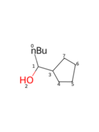 CCCCC(O)C1CCCC1